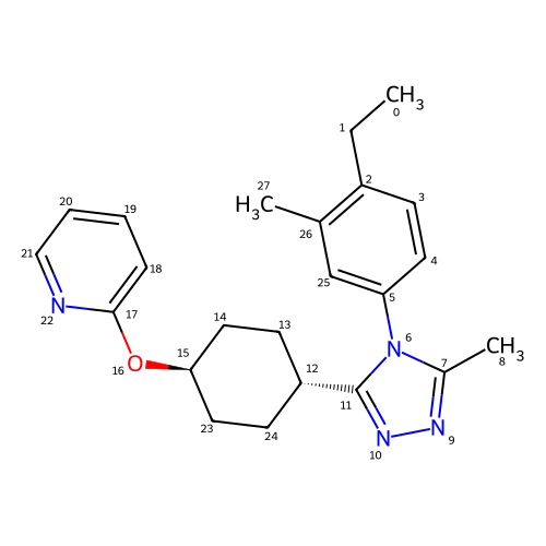 CCc1ccc(-n2c(C)nnc2[C@H]2CC[C@H](Oc3ccccn3)CC2)cc1C